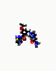 CC(C)Oc1cc(CN2CCN(CC(=O)N(C)C)CC2)cc(C(=O)Nc2nccs2)c1